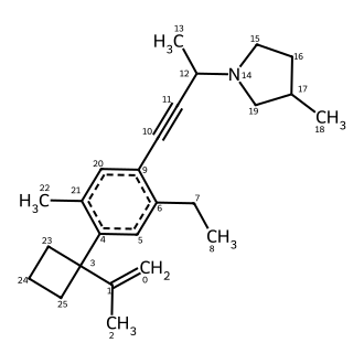 C=C(C)C1(c2cc(CC)c(C#CC(C)N3CCC(C)C3)cc2C)CCC1